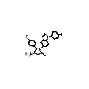 NC1CC(=O)N(c2ccc3c(cnn3-c3ccc(F)cc3)c2)C1c1ccc(F)cc1